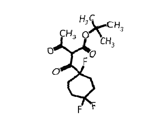 CC(=O)C(C(=O)OC(C)(C)C)C(=O)C1(F)CCC(F)(F)CC1